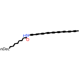 CC#CC#CC#CC#CC#CC#CC#CC#CC#CNC(=O)CCCCCCCCCCCCCCCCC